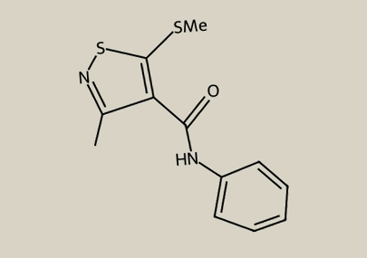 CSc1snc(C)c1C(=O)Nc1ccccc1